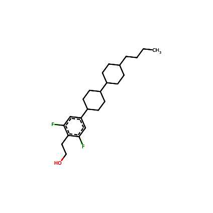 CCCCC1CCC(C2CCC(c3cc(F)c(CCO)c(F)c3)CC2)CC1